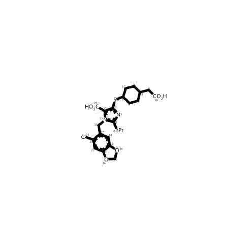 CCCc1nc(SC2CCC(CC(=O)O)CC2)c(C(=O)O)n1Cc1cc2c(cc1Cl)OCO2